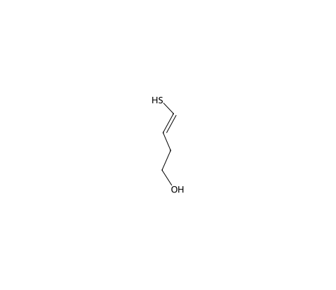 OCC/C=C/S